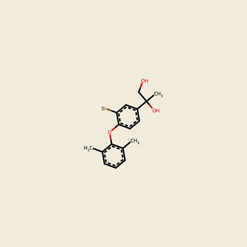 Cc1cccc(C)c1Oc1ccc(C(C)(O)CO)cc1Br